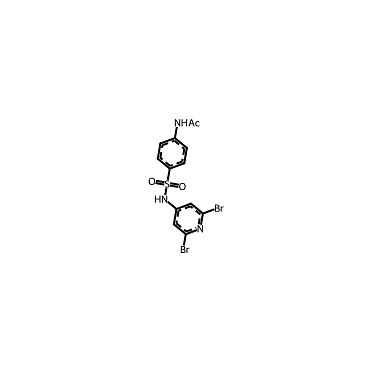 CC(=O)Nc1ccc(S(=O)(=O)Nc2cc(Br)nc(Br)c2)cc1